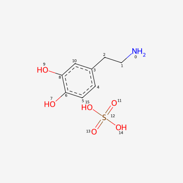 NCCc1ccc(O)c(O)c1.O=S(=O)(O)O